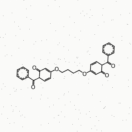 O=C1C=C(OCCCCOC2=CC(=O)C(C(=O)c3ccccc3)C=C2)C=CC1C(=O)c1ccccc1